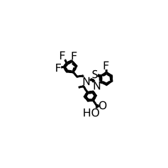 CC(c1ccc(C(=O)O)cc1)N(CCc1cc(F)c(F)c(F)c1)c1nc2cccc(F)c2s1